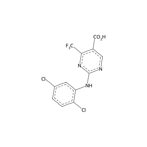 O=C(O)c1cnc(Nc2cc(Cl)ccc2Cl)nc1C(F)(F)F